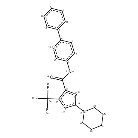 O=C(Nc1ccc(-c2ccccc2)nc1)c1sc(N2CCCCC2)nc1C(F)(F)F